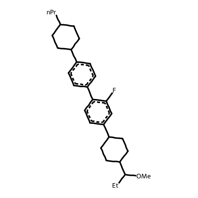 CCCC1CCC(c2ccc(-c3ccc(C4CCC(C(CC)OC)CC4)cc3F)cc2)CC1